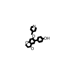 O=C1CCOc2cc(OCc3ccncc3)c(-c3ccc(O)cc3)cc21